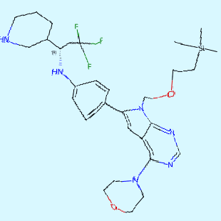 C[Si](C)(C)CCOCn1c(-c2ccc(N[C@H](C3CCCNC3)C(F)(F)F)cc2)cc2c(N3CCOCC3)ncnc21